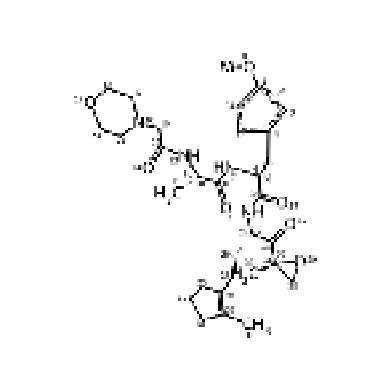 COc1ccc(C[C@H](NC(=O)[C@H](C)NC(=O)CN2CCOCC2)C(=O)N[C@@H](CCC2=C(C)CCC2)C(=O)[C@@]2(C)CO2)cc1